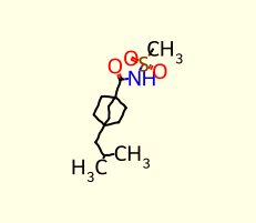 CC(C)CC12CCC(C(=O)NS(C)(=O)=O)(CC1)CC2